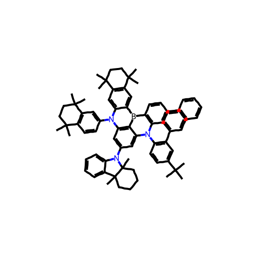 CC(C)(C)c1ccc(N2c3cc(-c4ccccc4)ccc3B3c4cc5c(cc4N(c4ccc6c(c4)C(C)(C)CCC6(C)C)c4cc(N6c7ccccc7C7(C)CCCCC67C)cc2c43)C(C)(C)CCC5(C)C)c(-c2ccccc2)c1